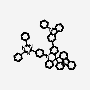 c1ccc(-c2nc(-c3ccccc3)nc(-c3ccc(N4c5ccccc5C(c5ccccc5)(c5cccc6c5oc5ccccc56)c5ccc(-c6ccc7c(c6)c6ccccc6n7-c6ccccc6)cc54)cc3)n2)cc1